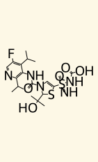 CC(C)c1ncc(F)c(C(C)C)c1NC(=O)N1C=C(S(=N)(=O)NC(=O)O)SC1C(C)(C)O